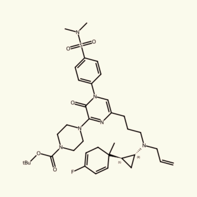 C=CCN(CCCc1cn(-c2ccc(S(=O)(=O)N(C)C)cc2)c(=O)c(N2CCN(C(=O)OC(C)(C)C)CC2)n1)[C@@H]1C[C@H]1C1(C)C=CC(F)=CC1